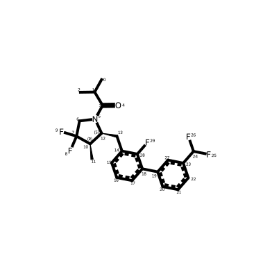 CC(C)C(=O)N1CC(F)(F)[C@H](C)[C@@H]1Cc1cccc(-c2cccc(C(F)F)c2)c1F